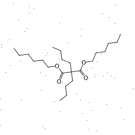 CCCCCCOC(=O)C(CCCC)(CCCC)C(=O)OCCCCCC